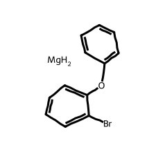 Brc1ccccc1Oc1ccccc1.[MgH2]